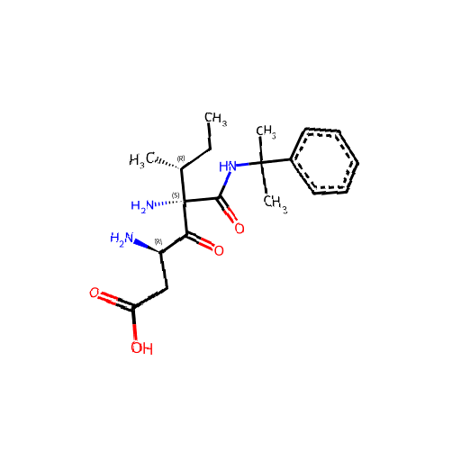 CC[C@@H](C)[C@@](N)(C(=O)NC(C)(C)c1ccccc1)C(=O)[C@H](N)CC(=O)O